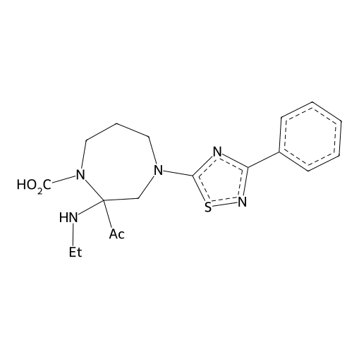 CCNC1(C(C)=O)CN(c2nc(-c3ccccc3)ns2)CCCN1C(=O)O